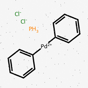 P.[Cl-].[Cl-].c1cc[c]([Pd+2][c]2ccccc2)cc1